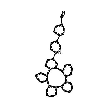 N#Cc1ccc(-c2ccc(-c3ccc4c5ccccc5c5ccccc5c5ccccc5c5ccccc5c4c3)nc2)cc1